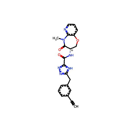 C#Cc1cccc(Cc2nnc(C(=O)N[C@H]3COc4cccnc4N(C)C3=O)[nH]2)c1